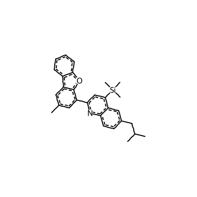 Cc1cc(-c2cc([Si](C)(C)C)c3cc(CC(C)C)ccc3n2)c2oc3ccccc3c2c1